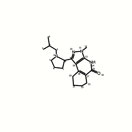 CC(C)CN1CCCC1c1nn(C)c2[nH]c(=O)c3c(c12)CCCC3